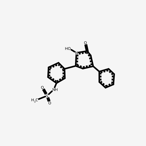 CS(=O)(=O)Nc1cccc(-c2cc(-c3ccccc3)cc(=O)n2O)c1